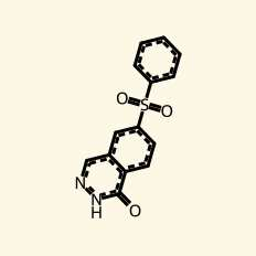 O=c1[nH]ncc2cc(S(=O)(=O)c3ccccc3)ccc12